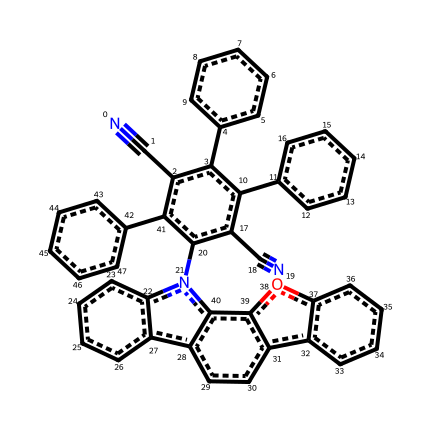 N#Cc1c(-c2ccccc2)c(-c2ccccc2)c(C#N)c(-n2c3ccccc3c3ccc4c5ccccc5oc4c32)c1-c1ccccc1